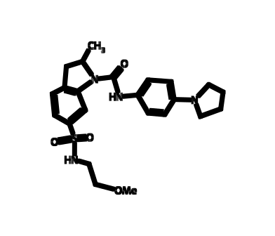 COCCNS(=O)(=O)c1ccc2c(c1)N(C(=O)Nc1ccc(N3CCCC3)cc1)C(C)C2